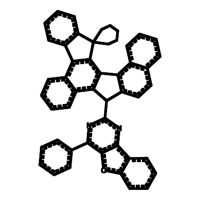 c1ccc(-c2nc(C3c4ccc5ccccc5c4-c4c5c(c6ccccc6c43)-c3ccccc3C53CCCCC3)nc3c2oc2ccccc23)cc1